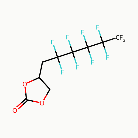 O=C1OCC(CC(F)(F)C(F)(F)C(F)(F)C(F)(F)C(F)(F)F)O1